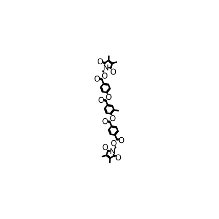 CC1=C(C)C(=O)N(COC(=O)c2ccc(OC(=O)c3ccc(OC(=O)c4ccc(C(=O)OCN5C(=O)C(C)=C(C)C5=O)cc4)c(C)c3)cc2)C1=O